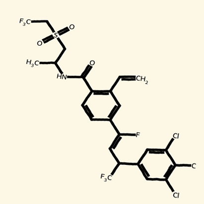 C=Cc1cc(/C(F)=C/C(c2cc(Cl)c(Cl)c(Cl)c2)C(F)(F)F)ccc1C(=O)NC(C)CS(=O)(=O)CC(F)(F)F